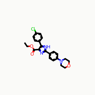 CCOC(=O)c1nc(-c2ccc(N3CCOCC3)cc2)[nH]c1-c1ccc(Cl)cc1